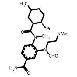 CNCCN(C=O)c1cc(C(N)=O)ccc1N(C)C(=O)C1CC(C)CC[C@H]1C(C)C